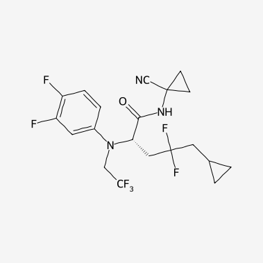 N#CC1(NC(=O)[C@H](CC(F)(F)CC2CC2)N(CC(F)(F)F)c2ccc(F)c(F)c2)CC1